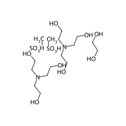 CS(=O)(=O)O.CS(=O)(=O)O.OCCN(CCO)CCO.OCCN(CCO)CCO.OCCO